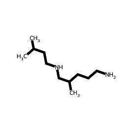 CC(C)CCNCC(C)CCCN